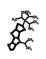 CC(C)n1c2ccsc2c2sc3cc(S(C(C)C)(C(C)C)C(C)C)sc3c21